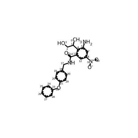 CC(CO)c1c(N)cc([N+](=O)[O-])cc1C(=O)NCc1ccc(Oc2ccccc2)cc1